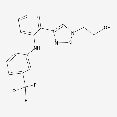 OCCn1cc(-c2ccccc2Nc2cccc(C(F)(F)F)c2)nn1